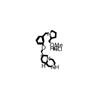 COCC1CCCN1Cc1cccc(OC[C@@H]2CC[C@H]3CNCCN3C2)c1.Cl.Cl